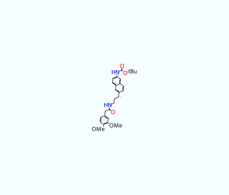 COc1ccc(CC(=O)NCC[CH]c2ccc3cc(NC(=O)OC(C)(C)C)ccc3c2)cc1OC